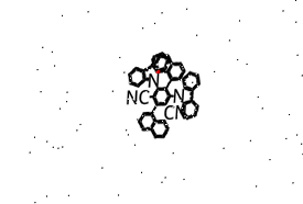 N#Cc1c(-c2cccc3ccccc23)c(C#N)c(-n2c3ccccc3c3ccccc32)c(-c2cccc3ccccc23)c1-n1c2ccccc2c2ccccc21